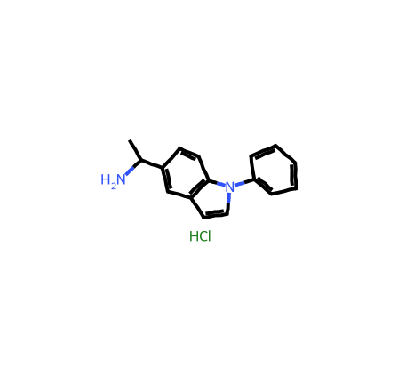 CC(N)c1ccc2c(ccn2-c2ccccc2)c1.Cl